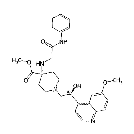 COC(=O)C1(NCC(=O)Nc2ccccc2)CCN(C[C@@H](O)c2ccnc3ccc(OC)cc23)CC1